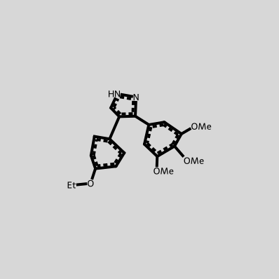 CCOc1ccc(-c2c[nH]nc2-c2cc(OC)c(OC)c(OC)c2)cc1